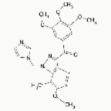 COc1cc(C(=O)c2nn(Cn3ccnc3)c3c(C)c(OC)ccc23)cc(OC)c1OC